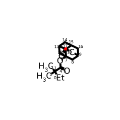 CCC(C)(C)C(=O)OC12CC3CC(=O)C(CC(C3)C1)C2